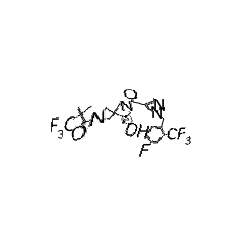 CC(C)(C(=O)N1CC2(CN(C(=O)c3cnn(Cc4ccc(F)cc4C(F)(F)F)c3)C[C@H]2CO)C1)C(F)(F)F